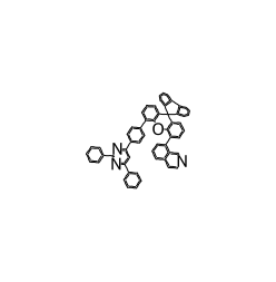 c1ccc(-c2cc(-c3ccc(-c4cccc5c4Oc4c(-c6cccc7ccncc67)cccc4C54c5ccccc5-c5ccccc54)cc3)nc(-c3ccccc3)n2)cc1